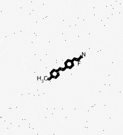 CCC1CCC(/C=C/C2CCC(C=C(F)C#N)CC2)CC1